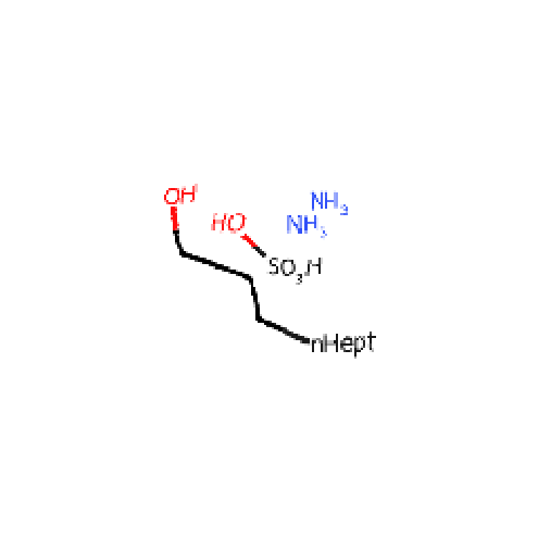 CCCCCCCCCCO.N.N.O=S(=O)(O)O